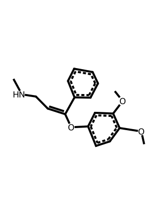 CNCC=C(Oc1ccc(OC)c(OC)c1)c1ccccc1